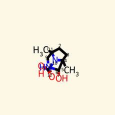 CC12CCC(C)(C(O)NC1)N2C(=O)O